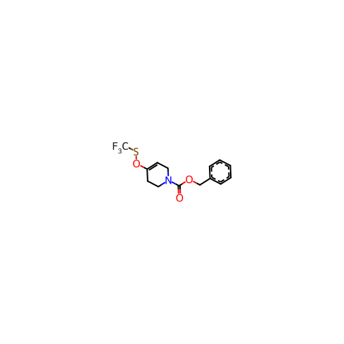 O=C(OCc1ccccc1)N1CC=C(OSC(F)(F)F)CC1